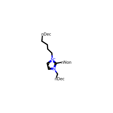 CCCCCCCCCCCCCC[n+]1ccn(CCCCCCCCCCC)c1CCCCCCCCC